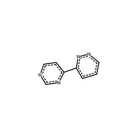 [c]1nccc(-c2cccnn2)n1